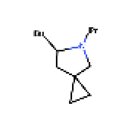 CCC(C)C1CC2(CC2)CN1C(C)C